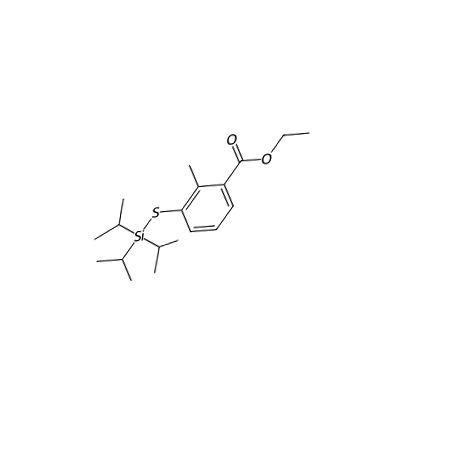 CCOC(=O)c1cccc(S[Si](C(C)C)(C(C)C)C(C)C)c1C